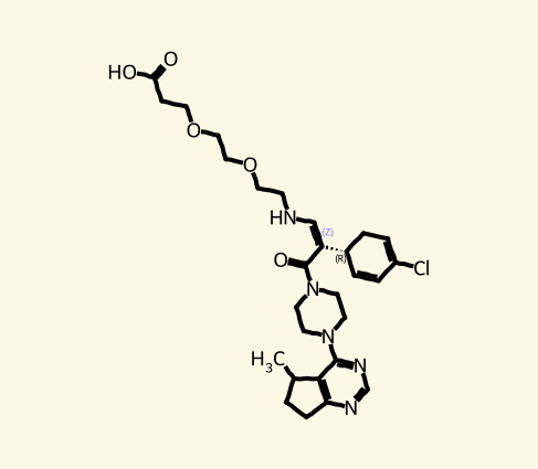 CC1CCc2ncnc(N3CCN(C(=O)/C(=C\NCCOCCOCCC(=O)O)[C@H]4C=CC(Cl)=CC4)CC3)c21